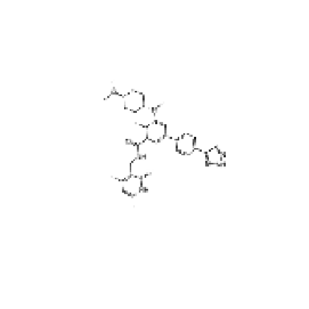 Cc1cc(C)c(CNC(=O)c2cc(-c3ccc(-c4nn[nH]n4)cc3)cc(N(C)[C@H]3CC[C@H](N(C)C)CC3)c2C)c(=O)[nH]1